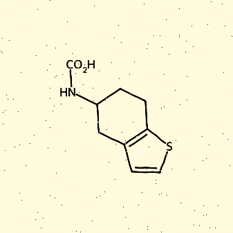 O=C(O)NC1CCc2sccc2C1